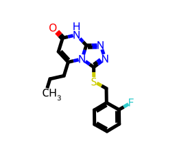 CCCc1cc(=O)[nH]c2nnc(SCc3ccccc3F)n12